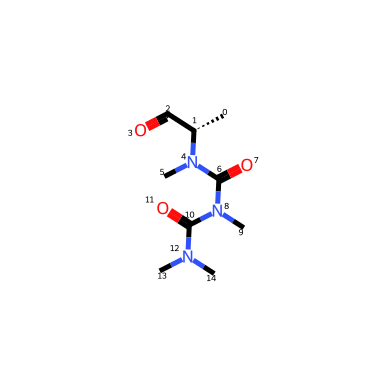 C[C@@H]([C]=O)N(C)C(=O)N(C)C(=O)N(C)C